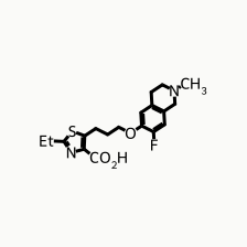 CCc1nc(C(=O)O)c(CCCOc2cc3c(cc2F)CN(C)CC3)s1